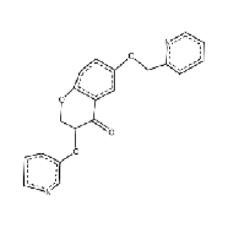 O=C1c2cc(OCc3ccccn3)ccc2OCC1Oc1cccnc1